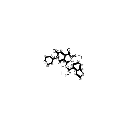 CC(Nc1nn(C)c(=O)c2cc(=O)n(C3CCOCC3)cc12)c1cccc2sccc12